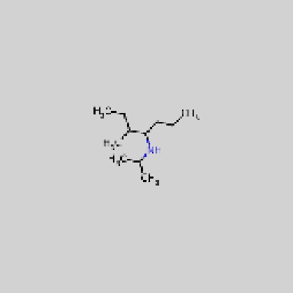 CCCC(NC(C)C)C(C)CC